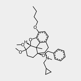 CCCCOc1ccc2c3c1O[C@H]1C(OC)(OC)CC[C@@](OCc4ccccc4)([C@H](N(C)CC4CC4)C2)C31C